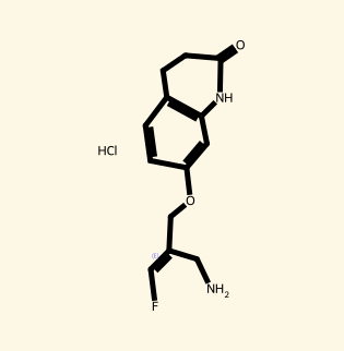 Cl.NC/C(=C\F)COc1ccc2c(c1)NC(=O)CC2